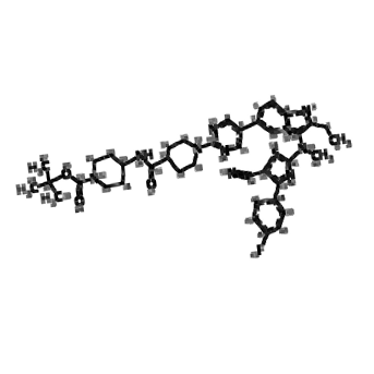 CCc1nc2ccc(-c3cnc(N4CCC(C(=O)NC5CCN(C(=O)OC(C)(C)C)CC5)CC4)nc3)cn2c1N(C)c1nc(-c2ccc(F)cc2)c(C#N)s1